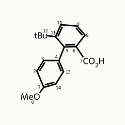 COc1ccc(-c2c(C(=O)O)cccc2C(C)(C)C)cc1